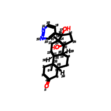 C[C@]12CCC(=O)C[C@H]1CC[C@@H]1[C@@H]2CC[C@]2(C)[C@](O)(c3ccnnc3)CC[C@]12O